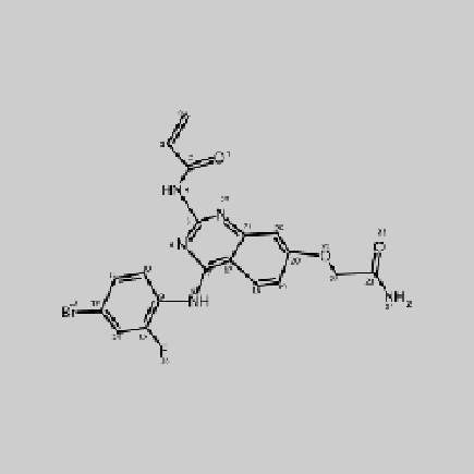 C=CC(=O)Nc1nc(Nc2ccc(Br)cc2F)c2ccc(OCC(N)=O)cc2n1